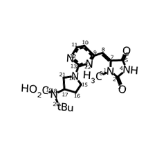 CN1C(=O)NC(=O)C1=Cc1ccnc(N2CCC(N(C(=O)O)C(C)(C)C)C2)n1